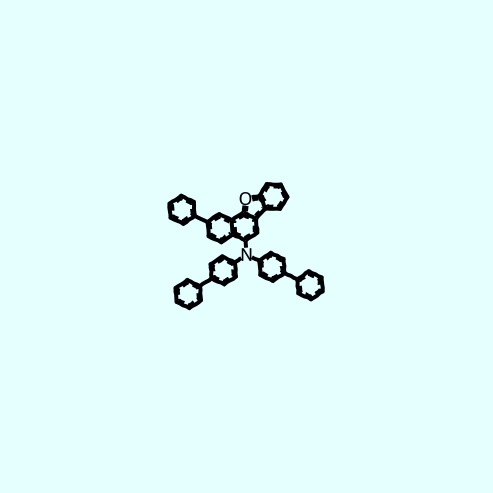 c1ccc(-c2ccc(N(c3ccc(-c4ccccc4)cc3)c3cc4c5ccccc5oc4c4cc(-c5ccccc5)ccc34)cc2)cc1